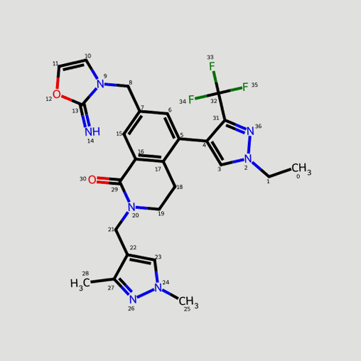 CCn1cc(-c2cc(Cn3ccoc3=N)cc3c2CCN(Cc2cn(C)nc2C)C3=O)c(C(F)(F)F)n1